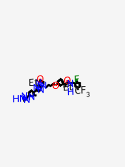 CC[C@H](C(=O)NCc1cc(C(F)(F)F)ccc1F)c1cccc(OCCCCN2CC(=O)N(CC)c3nc(-c4ccc(-c5nc[nH]n5)nc4C)cnc32)c1